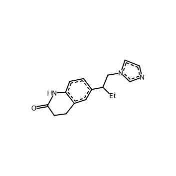 CCC(Cn1ccnc1)c1ccc2c(c1)CCC(=O)N2